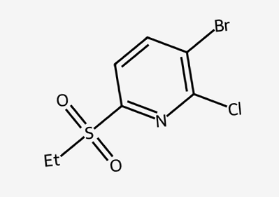 CCS(=O)(=O)c1ccc(Br)c(Cl)n1